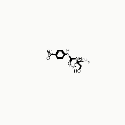 CC(C)(CO)NC(=O)Nc1ccc([N+](=O)[O-])cc1